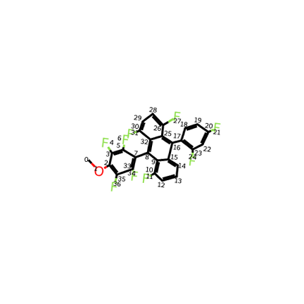 COc1c(F)c(F)c(-c2c3c(F)cccc3c(-c3ccc(F)cc3F)c3c(F)ccc(F)c23)c(F)c1F